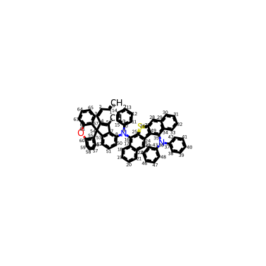 C=C/C=C\C1=C(C)c2c(N(c3ccccc3)c3c4ccccc4cc4c3sc3cc5ccccc5c(N(c5ccccc5)c5ccccc5)c34)cccc2C12c1ccccc1Oc1ccccc12